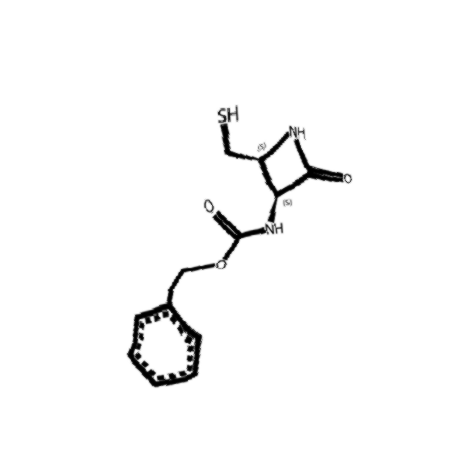 O=C(N[C@@H]1C(=O)N[C@@H]1CS)OCc1ccccc1